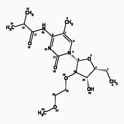 CC[C@H]1O[C@@H](n2cc(C)c(NC(=O)C(C)C)nc2=O)C(OCCOC)[C@H]1O